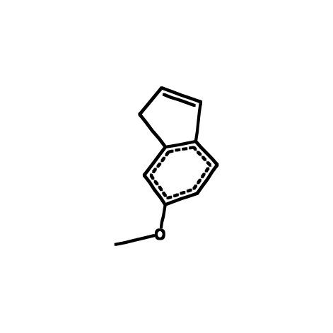 COc1ccc2c(c1)CC=C2